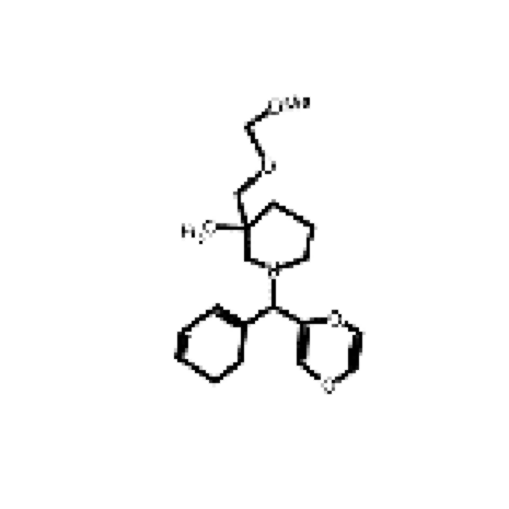 COCOCC1(C)CCCN(C(C2=CC=CCC2)C2=COC=CO2)C1